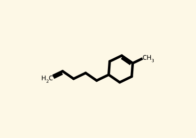 C=CCCCC1CC=C(C)CC1